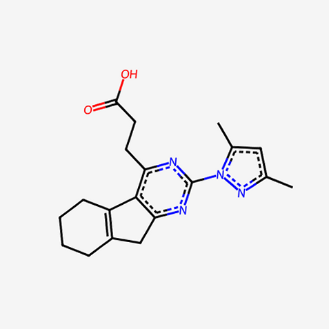 Cc1cc(C)n(-c2nc(CCC(=O)O)c3c(n2)CC2=C3CCCC2)n1